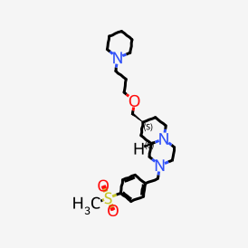 CS(=O)(=O)c1ccc(CN2CCN3CC[C@H](COCCCN4CCCCC4)C[C@H]3C2)cc1